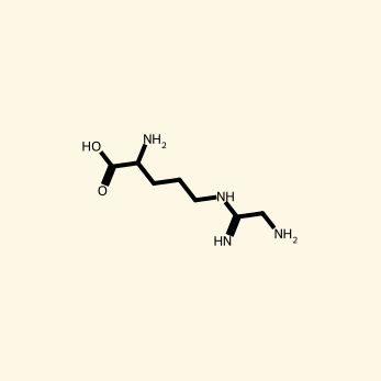 N=C(CN)NCCCC(N)C(=O)O